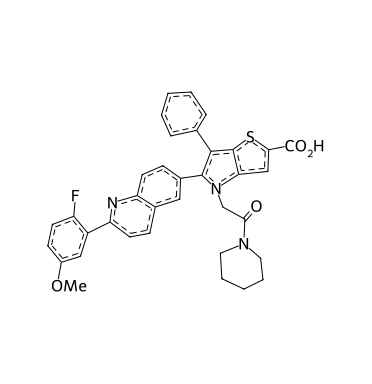 COc1ccc(F)c(-c2ccc3cc(-c4c(-c5ccccc5)c5sc(C(=O)O)cc5n4CC(=O)N4CCCCC4)ccc3n2)c1